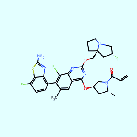 C=CC(=O)N1C[C@H](Oc2nc(OC[C@@]34CCCN3C[C@H](F)C4)nc3c(F)c(-c4ccc(F)c5sc(N)nc45)c(C(F)(F)F)cc23)C[C@H]1C